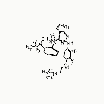 CCN(C)CCNc1ccc(Nc2nc(Nc3ccccc3N(C)S(C)(=O)=O)c3cc[nH]c3n2)c(F)c1F